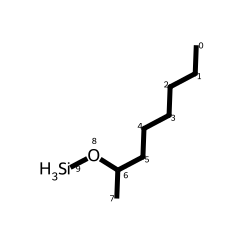 CCCCCCC(C)O[SiH3]